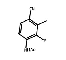 CC(=O)Nc1ccc(C#N)c(C)c1F